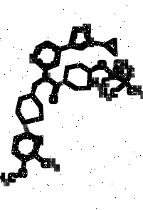 COc1ccc([C@H]2CC[C@H](CN(c3cc(-c4cnn(C5CC5)c4)ccn3)C(=O)[C@H]3CC[C@H](O[Si](C)(C)C(C)(C)C)CC3)CC2)nc1C